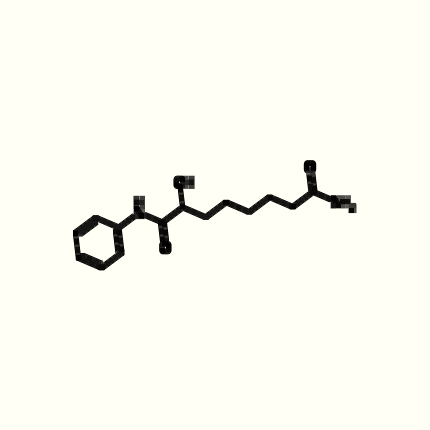 NC(=O)CCCCCC(O)C(=O)Nc1ccccc1